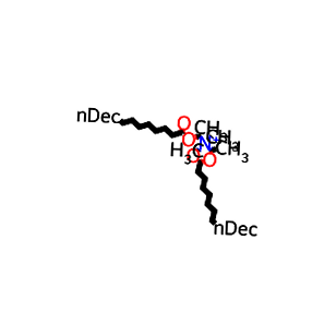 CCCCCCCCCCCCCCCCCC(=O)OC(C)[N+](C)(C)C(C)OC(=O)CCCCCCCCCCCCCCCCC